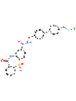 O=C(NCc1ccc(-c2ccc(CNCl)cc2)cc1)c1ccc2c(c1)NC(=O)c1ccccc1S2(=O)=O